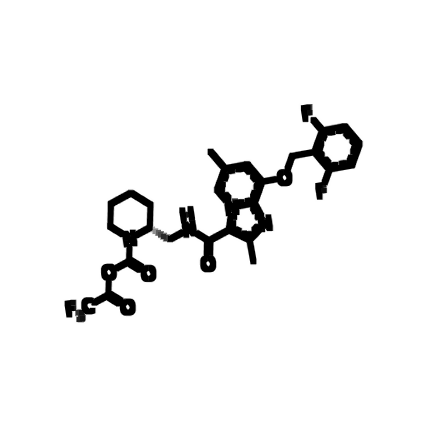 Cc1cc(OCc2c(F)cccc2F)c2nc(C)c(C(=O)NC[C@H]3CCCCN3C(=O)OC(=O)C(F)(F)F)n2c1